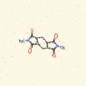 N#Cn1c(=O)c2cc3c(=O)n(C#N)c(=O)c3cc2c1=O